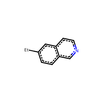 [CH2]Cc1ccc2cnccc2c1